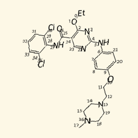 CCOc1nc(Nc2ccc(OCCN3CCN(C)CC3)cc2)ncc1C(=O)Nc1c(Cl)cccc1Cl